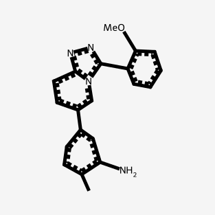 COc1ccccc1-c1nnc2ccc(-c3ccc(C)c(N)c3)cn12